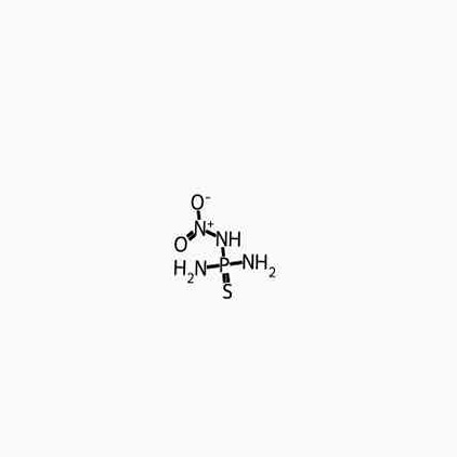 NP(N)(=S)N[N+](=O)[O-]